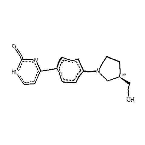 O=c1nc(-c2ccc(N3CC[C@@H](CO)C3)cc2)cc[nH]1